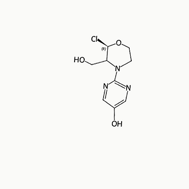 OCC1[C@@H](Cl)OCCN1c1ncc(O)cn1